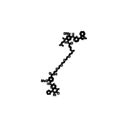 CC[C@@H]1C(=O)N(C)c2cnc(Nc3ccc(C(=O)NCCOCCOCCOCCOCCN(C)C/C=C/C(=O)Nc4cc(Nc5nccc(-c6cn(C)c7ccccc67)n5)c(OC)cc4N(C)CCN(C)C)cc3OC)nc2N1C1CCCC1